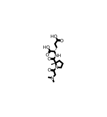 CN(C)CC(=O)N1CCC[C@@]1(C)C(=O)N[C@@H](CCC(=O)O)C(=O)O